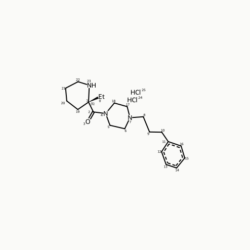 CC[C@@]1(C(=O)N2CCN(CCCc3ccccc3)CC2)CCCCN1.Cl.Cl